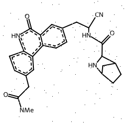 CNC(=O)Cc1ccc2[nH]c(=O)c3cc(CC(C#N)NC(=O)C4NC5CCC4C5)ccc3c2c1